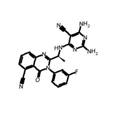 C[C@H](Nc1nc(N)nc(N)c1C#N)c1nc2cccc(C#N)c2c(=O)n1-c1cccc(F)c1